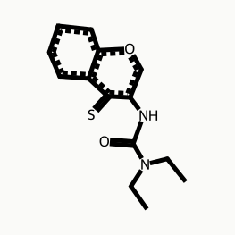 CCN(CC)C(=O)Nc1coc2ccccc2c1=S